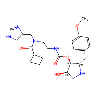 COc1ccc(C[C@@H]2NC[C@@H](O)[C@H]2OC(=O)NCCN(Cc2c[nH]cn2)C(=O)C2CCC2)cc1